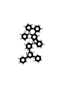 c1ccc(-c2cc(-c3ccccc3)nc(-c3cccc(-n4c5ccccc5c5cc6c(cc54)N(c4ccccc4)c4ccccc4-c4ccccc4-6)c3)c2)cc1